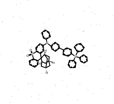 O=S1(=O)c2ccccc2C2(c3cc(N(c4ccccc4)c4ccc(-c5ccc([Si](c6ccccc6)(c6ccccc6)c6ccccc6)cc5)cc4)ccc31)[C@H]1C[C@H]3C[C@H](C[C@H]2C3)C1